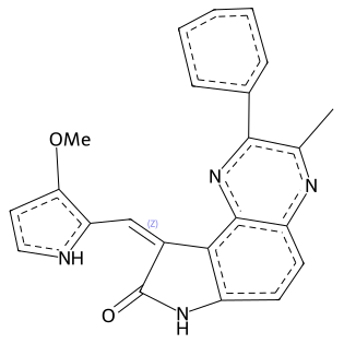 COc1cc[nH]c1/C=C1\C(=O)Nc2ccc3nc(C)c(-c4ccccc4)nc3c21